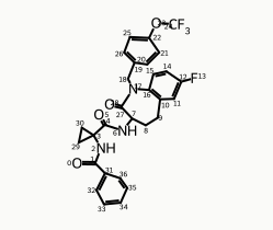 O=C(NC1(C(=O)NC2CCc3cc(F)ccc3N(Cc3ccc(OC(F)(F)F)cc3)C2=O)CC1)c1ccccc1